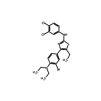 CCc1sc(Nc2ccc(Cl)c(Cl)c2)nc1-c1ccc(N(CC)CC)c(Br)c1